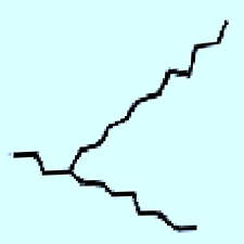 [CH2]CCC(CCCCCCCC)CCCCCCCCCCC